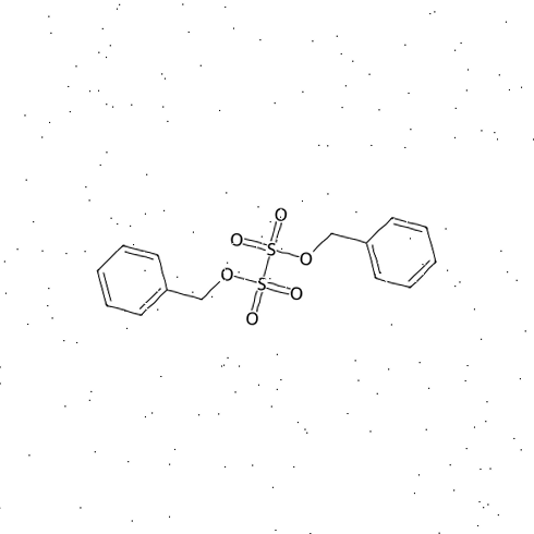 O=S(=O)(OCc1ccccc1)S(=O)(=O)OCc1ccccc1